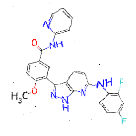 COc1ccc(C(=O)Nc2ccccn2)cc1-c1n[nH]c2nc(Nc3ccc(F)cc3F)ccc12